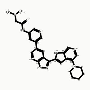 CN(C)CC(=O)Nc1cncc(-c2cnc3[nH]nc(-c4cc5c(N6CCCCC6)cncc5[nH]4)c3c2)c1